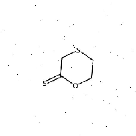 S=C1CSCCO1